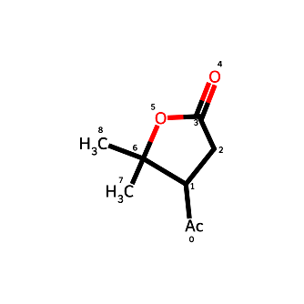 CC(=O)C1CC(=O)OC1(C)C